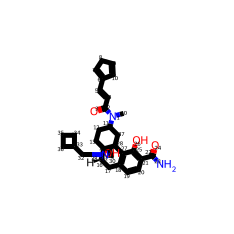 CN(C(=O)/C=C/C1=CCC=C1)C1CC[C@@]2(O)[C@H]3Cc4ccc(C(N)=O)c(O)c4[C@@]2(CCN3CC2CCC2)C1